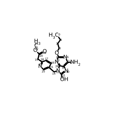 CCCCOc1nc(N)c2nc(O)n(Cc3ccc(CC(=O)OC)nc3)c2n1